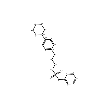 O=S(=O)(Cc1ccccc1)OCCCc1ccc(C2CCCCC2)cc1